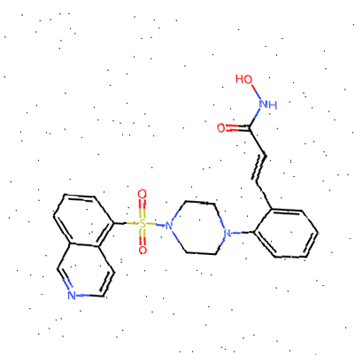 O=C(/C=C/c1ccccc1N1CCN(S(=O)(=O)c2cccc3cnccc23)CC1)NO